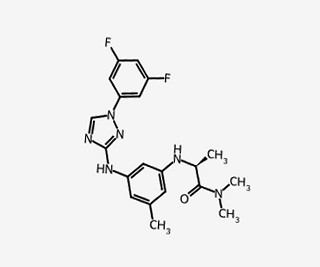 Cc1cc(Nc2ncn(-c3cc(F)cc(F)c3)n2)cc(N[C@@H](C)C(=O)N(C)C)c1